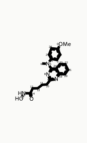 COc1ccc(N(C)c2nc(CCCCC(=O)NO)nc3ccccc23)cc1